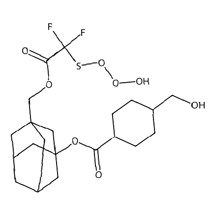 O=C(OC12CC3CC(CC(COC(=O)C(F)(F)SOOO)(C3)C1)C2)C1CCC(CO)CC1